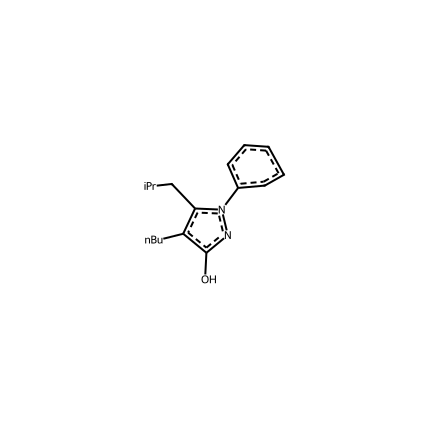 CCCCc1c(O)nn(-c2ccccc2)c1CC(C)C